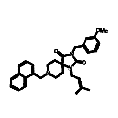 COc1cccc(CN2C(=O)N(CC=C(C)C)C3(CCN(Cc4cccc5ccccc45)CC3)C2=O)c1